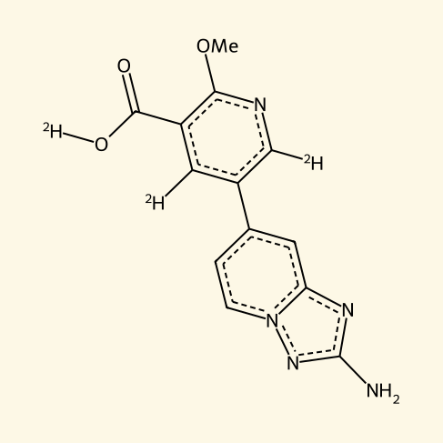 [2H]OC(=O)c1c(OC)nc([2H])c(-c2ccn3nc(N)nc3c2)c1[2H]